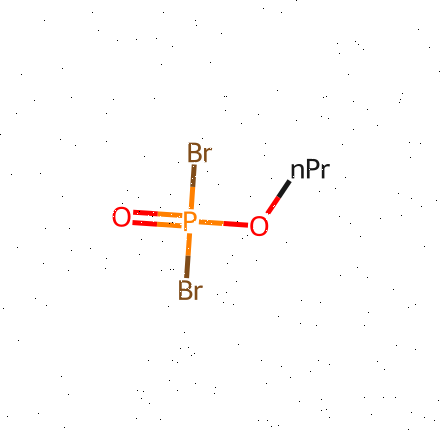 CCCOP(=O)(Br)Br